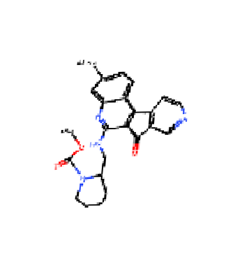 COc1ccc2c3c(c(NCC4CCCCN4C(=O)OC(C)(C)C)nc2c1)C(=O)c1cnccc1-3